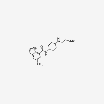 CSCCNC1CCC(NC(=O)c2cc(C)cc3cc[nH]c23)CC1